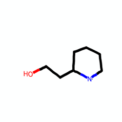 OCCC1CCCC[N]1